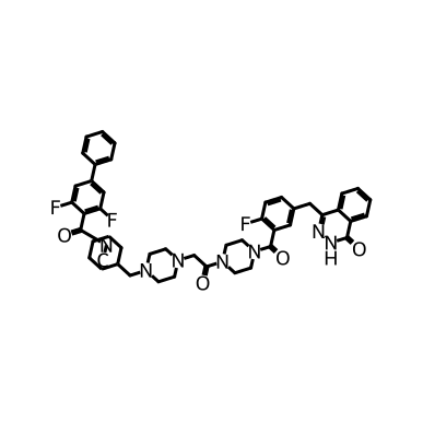 O=C(CN1CCN(CC2CC3CCC2CN3C(=O)c2c(F)cc(-c3ccccc3)cc2F)CC1)N1CCN(C(=O)c2cc(Cc3n[nH]c(=O)c4ccccc34)ccc2F)CC1